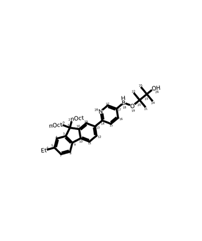 CCCCCCCCC1(CCCCCCCC)c2cc(CC)ccc2-c2ccc(-c3ccc(BOC(C)(C)C(C)(C)O)cn3)cc21